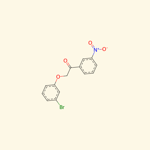 O=C(COc1cccc(Br)c1)c1cccc([N+](=O)[O-])c1